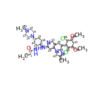 C=CC(=O)Nc1cc(N2CCN(C)CC2)ccc1Nc1cc2c(cn1)cc(-c1c(Cl)c(OC)cc(OC)c1Cl)c1nc(C)cn12